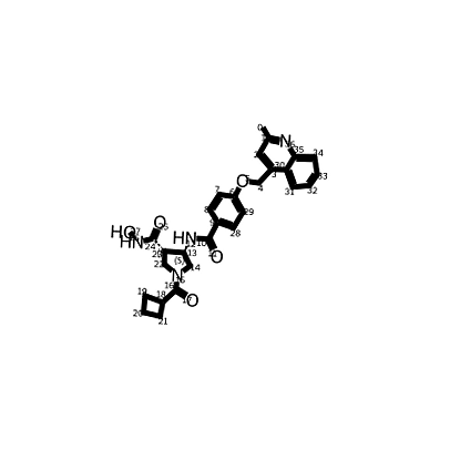 Cc1cc(COc2ccc(C(=O)N[C@@H]3CN(C(=O)C4CCC4)C[C@@H]3C(=O)NO)cc2)c2ccccc2n1